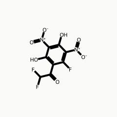 O=C(c1c(O)c([N+](=O)[O-])c(O)c([N+](=O)[O-])c1F)C(F)F